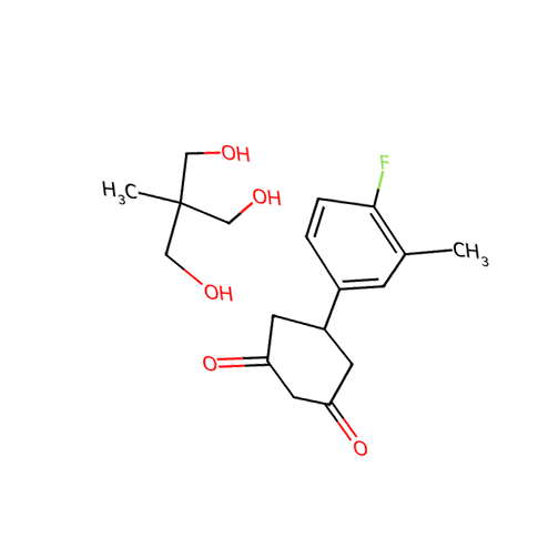 CC(CO)(CO)CO.Cc1cc(C2CC(=O)CC(=O)C2)ccc1F